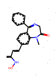 C=C(/C=C/c1ccc2c(c1)N(C)C(=O)CN=C2c1ccccc1)NO